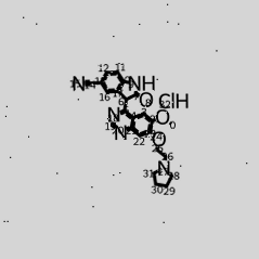 COc1cc2c(C3C(=O)Nc4ccc(C#N)cc43)ncnc2cc1OCCN1CCCC1.Cl